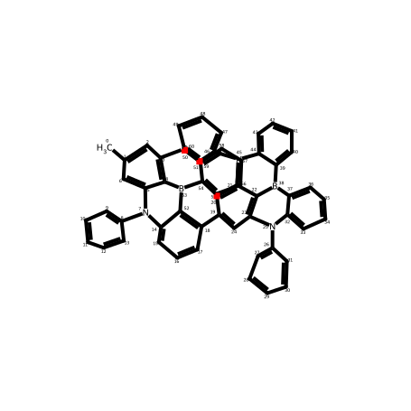 Cc1cc2c3c(c1)N(c1ccccc1)c1cccc(-c4cc5c6c(c4)N(c4ccccc4)c4ccccc4B6c4ccccc4N5c4ccccc4)c1B3c1ccccc1O2